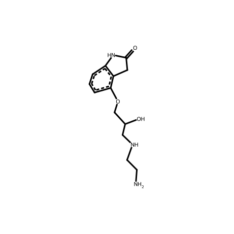 NCCNCC(O)COc1cccc2c1CC(=O)N2